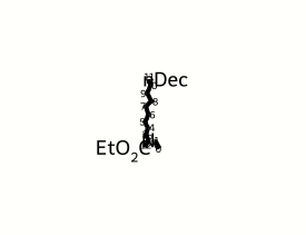 C=CN(CCCCCCCCCCCCCCCCCC)C(=O)OCC